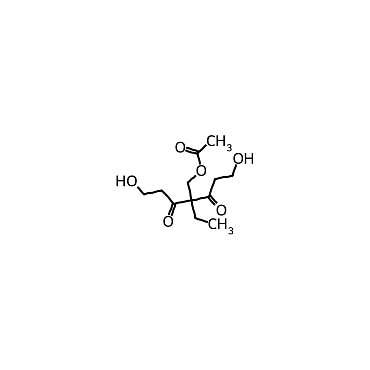 CCC(COC(C)=O)(C(=O)CCO)C(=O)CCO